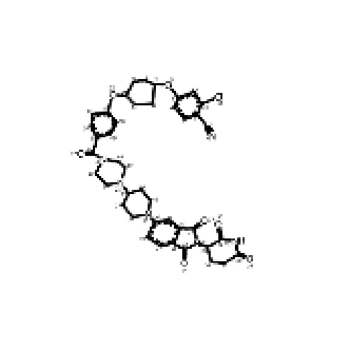 N#Cc1ccc(OC2CCC(Oc3ccc(C(=O)N4CCN(C5CCN(c6ccc7c(c6)C(=O)N(C6CCC(=O)NC6=O)C7=O)CC5)CC4)cc3)CC2)cc1Cl